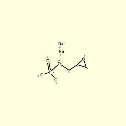 O=P([O-])([O-])OCC1CO1.[Na+].[Na+]